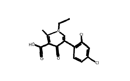 CCn1cc(-c2ccc(Cl)cc2Cl)c(=O)c(C(=O)O)c1C